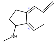 C=C/C=C1/CCC(NC)/C1=C/C